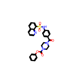 O=C(Oc1ccccc1)N1CCN(C(=O)c2ccc(NS(=O)(=O)c3cccc4cccnc34)cc2)CC1